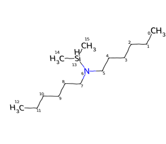 CCCCCCN(CCCCCC)[SiH](C)C